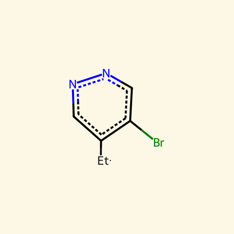 C[CH]c1cnncc1Br